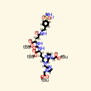 CC(C)(C)OC(=O)Cn1ccnc1CN(CCCC[C@H](NC(=O)N[C@@H](CCC(=O)NCCc1ccc(S(N)(=O)=O)cc1)C(=O)OC(C)(C)C)C(=O)OC(C)(C)C)Cc1nccn1CC(=O)OC(C)(C)C